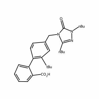 CCCCc1nn(CCCC)c(=O)n1Cc1ccc(-c2ccccc2C(=O)O)c(C(C)(C)C)c1